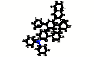 c1ccc(C2CC(c3ccc4ccccc4c3)=c3c(c4ccccc4c4ccccc34)=C2c2ccc(N(c3ccccc3)c3ccccc3)cc2)cc1